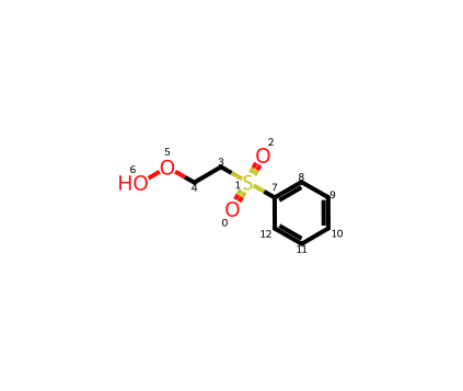 O=S(=O)(CCOO)c1ccccc1